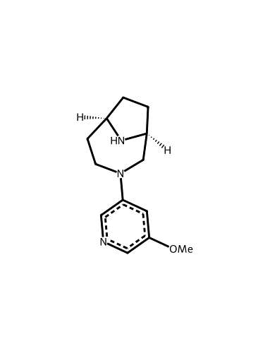 COc1cncc(N2CC[C@H]3CC[C@@H](C2)N3)c1